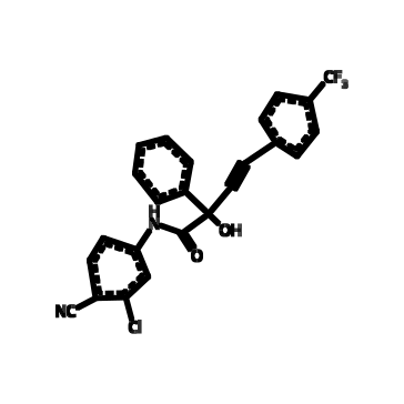 N#Cc1ccc(NC(=O)C(O)(C#Cc2ccc(C(F)(F)F)cc2)c2ccccc2)cc1Cl